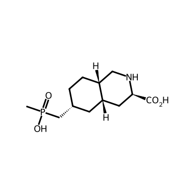 CP(=O)(O)C[C@@H]1CC[C@@H]2CN[C@@H](C(=O)O)C[C@@H]2C1